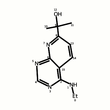 CCNc1ncnc2nc(C(C)(C)O)ccc12